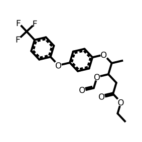 CCOC(=O)CC(OC=O)C(C)Oc1ccc(Oc2ccc(C(F)(F)F)cc2)cc1